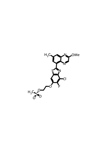 COc1cnc2c(-c3nc4c(Cl)c(F)c(OCCOS(C)(=O)=O)cc4s3)cc(C)cc2n1